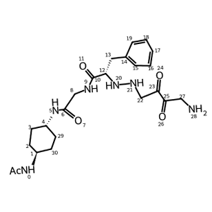 CC(=O)N[C@H]1CC[C@H](NC(=O)CNC(=O)[C@H](Cc2ccccc2)NNCC(=O)C(=O)CN)CC1